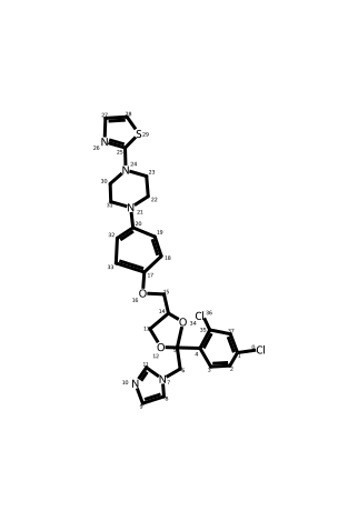 Clc1ccc(C2(Cn3ccnc3)OCC(COc3ccc(N4CCN(c5nccs5)CC4)cc3)O2)c(Cl)c1